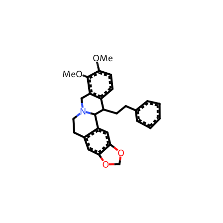 COc1ccc2c(c1OC)CN1CCc3cc4c(cc3C1C2CCc1ccccc1)OCO4